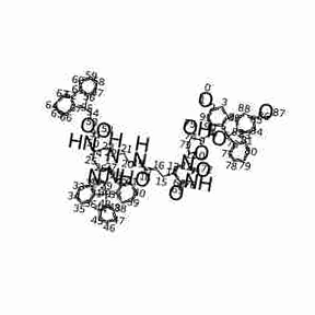 COc1ccc(C(OC[C@H]2O[C@@H](n3cc(CCC(=O)NCCNCC(Cc4c[nH]c(C(c5ccccc5)(c5ccccc5)c5ccccc5)n4)NC(=O)OCC4c5ccccc5-c5ccccc54)c(=O)[nH]c3=O)C[C@@H]2O)(c2ccccc2)c2ccc(OC)cc2)cc1